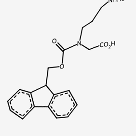 CC(=O)NCCCN(CC(=O)O)C(=O)OCC1c2ccccc2-c2ccccc21